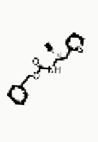 C#C[C@H](Cc1cccs1)NC(=O)OCc1ccccc1